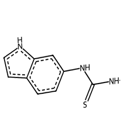 [NH]C(=S)Nc1ccc2cc[nH]c2c1